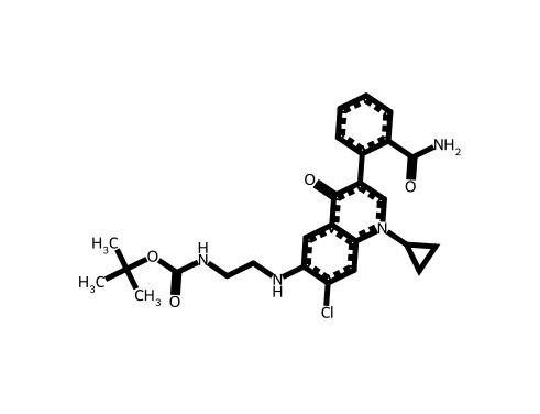 CC(C)(C)OC(=O)NCCNc1cc2c(=O)c(-c3ccccc3C(N)=O)cn(C3CC3)c2cc1Cl